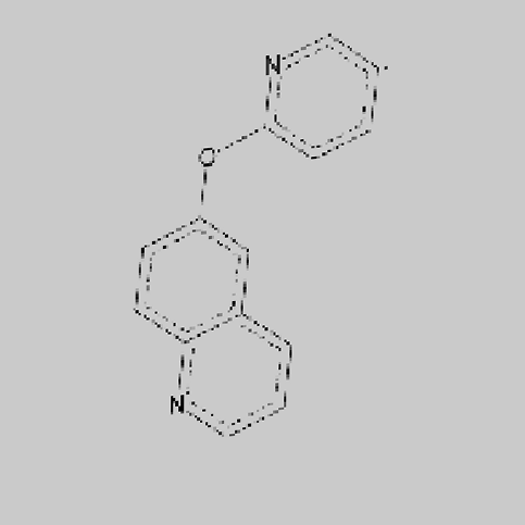 [c]1ccc(Oc2ccc3ncccc3c2)nc1